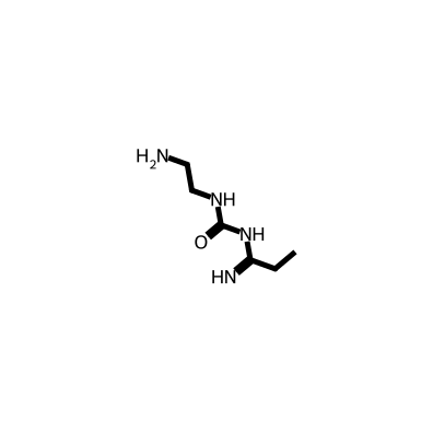 CCC(=N)NC(=O)NCCN